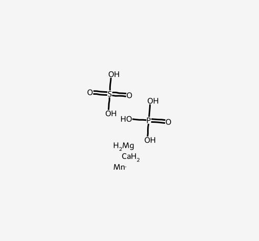 O=P(O)(O)O.O=S(=O)(O)O.[CaH2].[MgH2].[Mn]